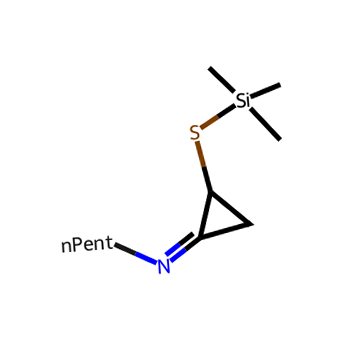 CCCCC/N=C1/CC1S[Si](C)(C)C